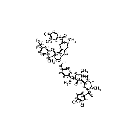 C[C@@H]1Cc2nn3c(c2CN1C(=O)c1ccc(Cl)c(Cl)c1)C(=O)N([C@H](C)c1cnc(C(F)(F)F)cn1)C[C@H]3CCc1ccc([C@@H](C)N2C[C@@H](C)n3nc4c(c3C2=O)CN(C(=O)c2ccc(Cl)c(Cl)c2)[C@H](C)C4)nn1